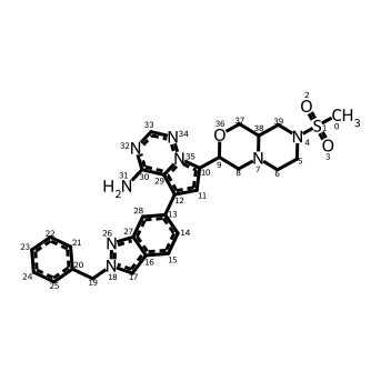 CS(=O)(=O)N1CCN2CC(c3cc(-c4ccc5cn(Cc6ccccc6)nc5c4)c4c(N)ncnn34)OCC2C1